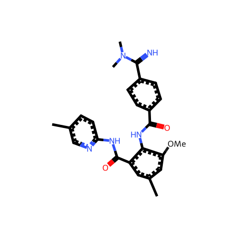 COc1cc(C)cc(C(=O)Nc2ccc(C)cn2)c1NC(=O)c1ccc(C(=N)N(C)C)cc1